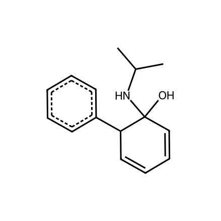 CC(C)NC1(O)C=CC=CC1c1ccccc1